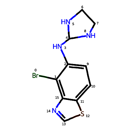 Brc1c(NC2NCCN2)ccc2scnc12